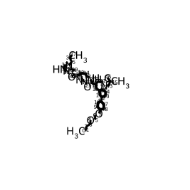 CCCCOCCOc1ccc(-c2ccc3c(c2)C=C(C(=O)Nc2ccc([S+]([O-])CC4=NNCN4CCC)nn2)CCN3CC(C)C)cc1